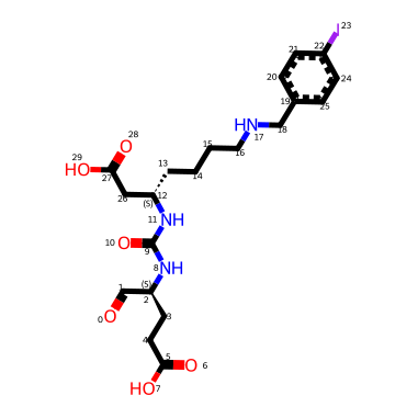 O=C[C@H](CCC(=O)O)NC(=O)N[C@@H](CCCCNCc1ccc(I)cc1)CC(=O)O